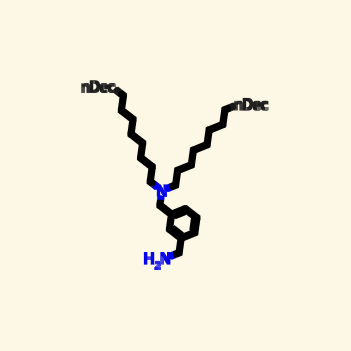 CCCCCCCCCCCCCCCCCCN(CCCCCCCCCCCCCCCCCC)Cc1cccc(CN)c1